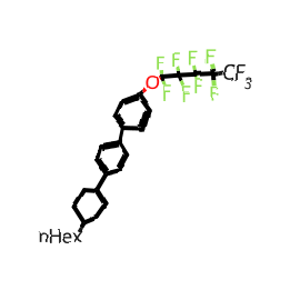 CCCCCCC1CCC(c2ccc(-c3ccc(OC(F)(F)C(F)(F)C(F)(F)C(F)(F)C(F)(F)F)cc3)cc2)CC1